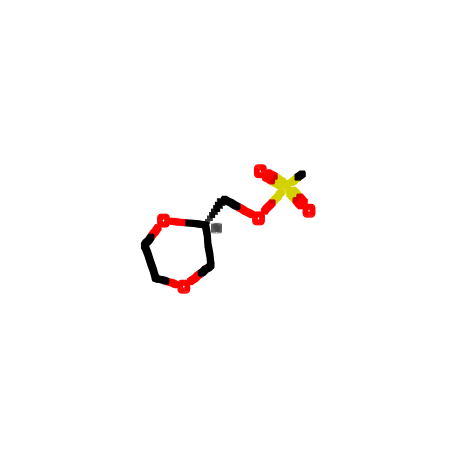 CS(=O)(=O)OC[C@@H]1COCCO1